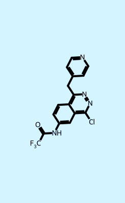 O=C(Nc1ccc2c(Cc3ccncc3)nnc(Cl)c2c1)C(F)(F)F